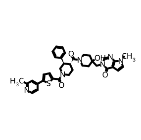 Cc1cc(-c2ccc(C(=O)N3CC[C@@H](C(=O)N4CCC(O)(Cn5cnc6c(ccn6C)c5=O)CC4)[C@H](c4ccccc4)C3)s2)ccn1